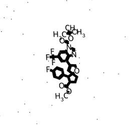 COC(=O)C1CCC2(C=C(c3cc(C(F)(F)F)cc4c3ncn4C(=O)OC(C)(C)C)CO2)C1c1ccc(F)cc1